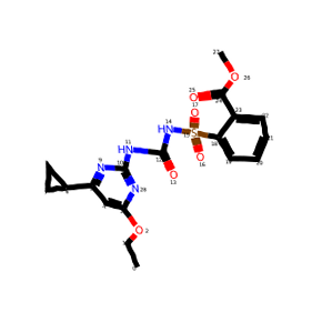 CCOc1cc(C2CC2)nc(NC(=O)NS(=O)(=O)c2ccccc2C(=O)OC)n1